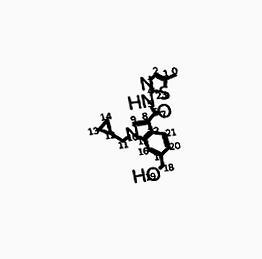 Cc1cnc(NC(=O)c2cn(CC3CC3)c3cc(CO)ccc23)s1